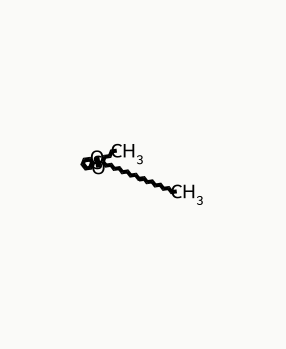 CCCCCCCCC=CCCCCCCCCC(CCCC)S(=O)(=O)c1ccccc1